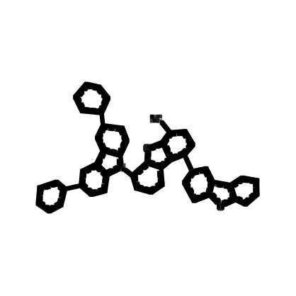 N#Cc1ccc(-c2ccc3oc4ccccc4c3c2)c2c1oc1c(-n3c4ccc(-c5ccccc5)cc4c4cc(-c5ccccc5)ccc43)cccc12